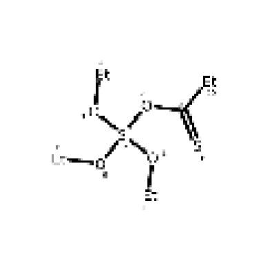 CCO[Si](OCC)(OCC)OC(=S)CC